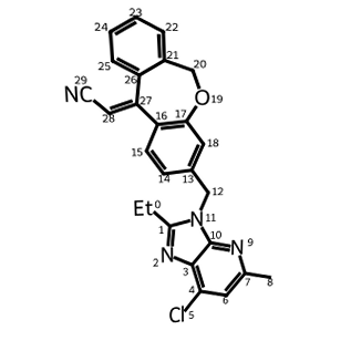 CCc1nc2c(Cl)cc(C)nc2n1Cc1ccc2c(c1)OCc1ccccc1C2=CC#N